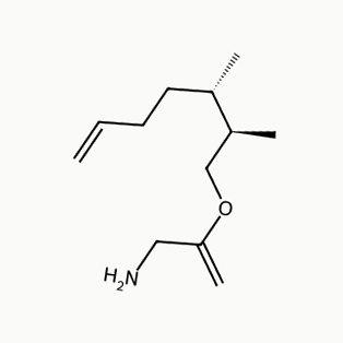 C=CCC[C@H](C)[C@@H](C)COC(=C)CN